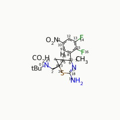 CC(C)(C)N(C[C@@]12C[C@H]1[C@@](C)(c1cc([N+](=O)[O-])cc(F)c1F)N=C(N)S2)C(=O)O